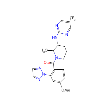 COc1ccc(C(=O)N2CCC[C@@H](Nc3ncc(C(F)(F)F)cn3)[C@@H]2C)c(-n2nccn2)c1